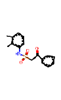 Cc1cccc(NS(=O)(=O)CC(=O)c2ccccc2)c1C